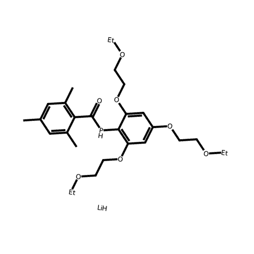 CCOCCOc1cc(OCCOCC)c(PC(=O)c2c(C)cc(C)cc2C)c(OCCOCC)c1.[LiH]